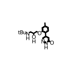 Cc1ccc(-c2cn[nH]c(=O)c2)c(OCC(O)CNC(C)(C)C)c1